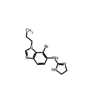 CCCn1cnc2ccc(NC3=NCCN3)c(Br)c21